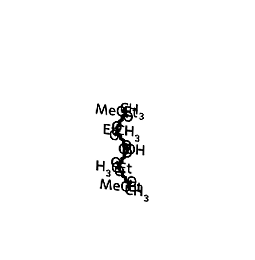 CCC(C)(OC)C(=O)CCCCOC(C)(CC)C(=O)CCCCOP(=O)(O)OCCCCC(=O)C(C)(CC)OCCCCC(=O)C(C)(CC)OC